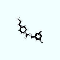 O=C(OCc1cc(Cl)cc(Cl)c1)N1CCC(CCBr)CC1